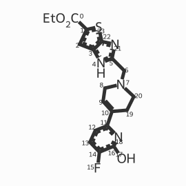 CCOC(=O)c1cc2[nH]c(CN3CC=C(c4ccc(F)c(O)n4)CC3)nc2s1